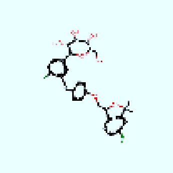 CC1(C)OC(COc2ccc(Cc3cc([C@@H]4O[C@H](CO)[C@@H](O)[C@H](O)[C@H]4O)ccc3Cl)cc2)c2ccc(F)cc21